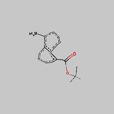 Bc1cccc2c(C(=O)OC(C)(C)C)cccc12